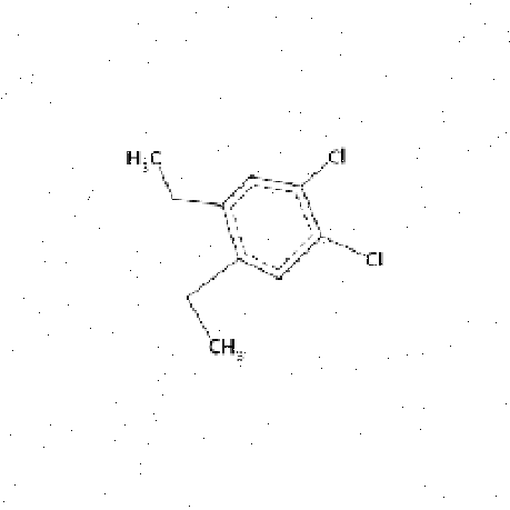 CCc1cc(Cl)c(Cl)cc1CC